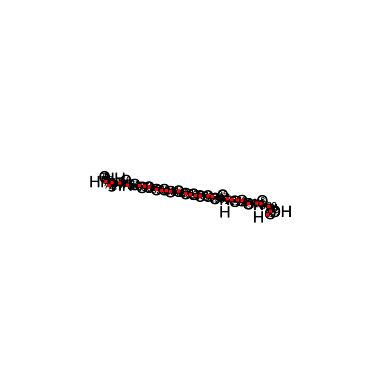 COc1cc(C=CC(=O)NCCCOCCOCCOCCCNC(=O)CCOCCOCCOCCOCCOCCOCCOCCOCCOCCOCCOCCOCCNC(=O)CCCCC2SCC3NC(=O)NC32)ccc1O